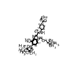 CC(C)(C)OC(=O)N1CCC(NC(=O)c2nc3c(C#N)c(B4OC(C)(C)C(C)(C)O4)ccc3n2COCC[Si](C)(C)C)CC1